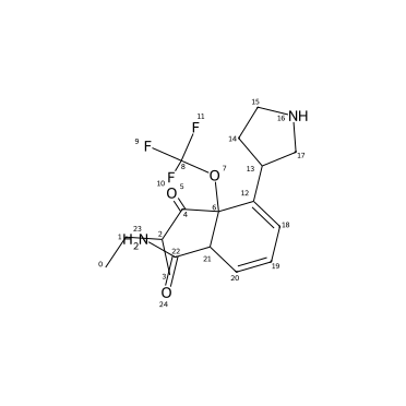 CCC(C)C(=O)C1(OC(F)(F)F)C(C2CCNC2)=CC=CC1C(N)=O